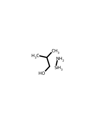 CC(C)CO.N[SiH3]